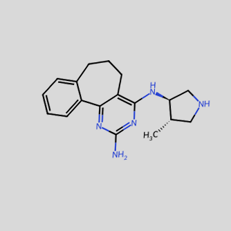 C[C@H]1CNC[C@@H]1Nc1nc(N)nc2c1CCCc1ccccc1-2